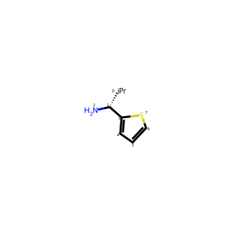 CC(C)[C@@H](N)c1cccs1